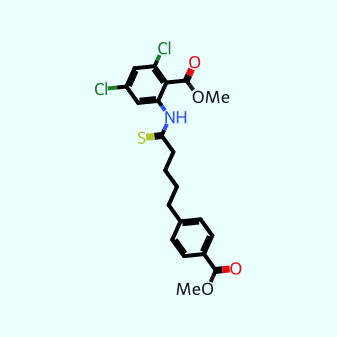 COC(=O)c1ccc(CCCCC(=S)Nc2cc(Cl)cc(Cl)c2C(=O)OC)cc1